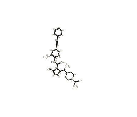 CC(=O)N1CCC(C(C)n2ncc(Cl)c2C(=O)Nc2ncc(C#Cc3ccccc3)cc2C)CC1